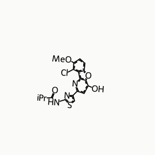 COc1ccc2oc3c(O)cc(-c4csc(NC(=O)C(C)C)n4)nc3c2c1Cl